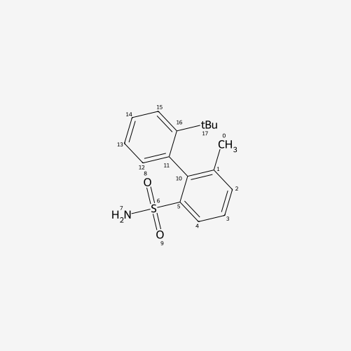 Cc1cccc(S(N)(=O)=O)c1-c1ccccc1C(C)(C)C